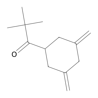 C=C1CC(=C)CC(C(=O)C(C)(C)C)C1